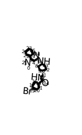 CN(C)c1cc(N[C@H]2CC[C@@H](CNC(=O)c3ccc(Br)cc3)CC2)nc2ccccc12